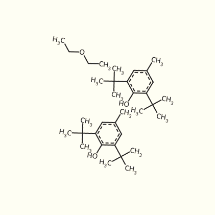 CCOCC.Cc1cc(C(C)(C)C)c(O)c(C(C)(C)C)c1.Cc1cc(C(C)(C)C)c(O)c(C(C)(C)C)c1